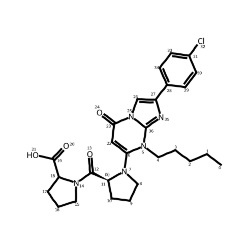 CCCCCn1c(N2CCC[C@H]2C(=O)N2CCCC2C(=O)O)cc(=O)n2cc(-c3ccc(Cl)cc3)nc12